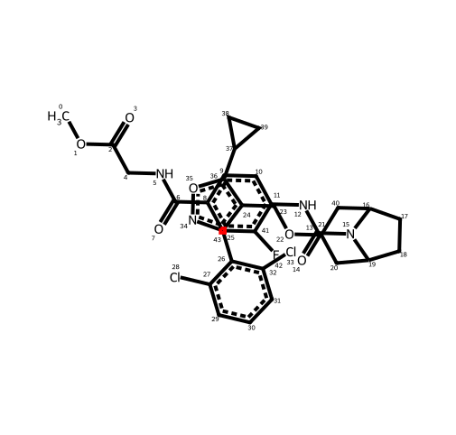 COC(=O)CNC(=O)c1ccc(NC(=O)N2C3CCC2CC(OCc2c(-c4c(Cl)cccc4Cl)noc2C2CC2)C3)c(F)c1